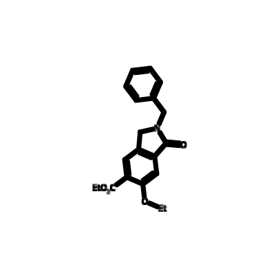 CCOC(=O)c1cc2c(cc1OCC)C(=O)N(Cc1ccccc1)C2